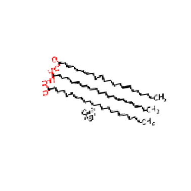 CCCCCCCCCCCCCCCCCCCCCC(=O)[O-].CCCCCCCCCCCCCCCCCCCCCC(=O)[O-].CCCCCCCCCCCCCCCCCCCCCC(=O)[O-].[Ag+].[Ca+2]